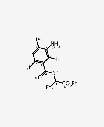 CCOC(=O)C(CC)OC(=O)c1c(I)cc(I)c(N)c1I